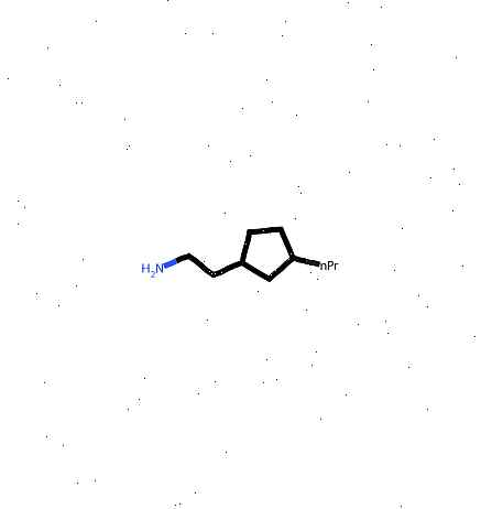 CCCC1CCC(CCN)C1